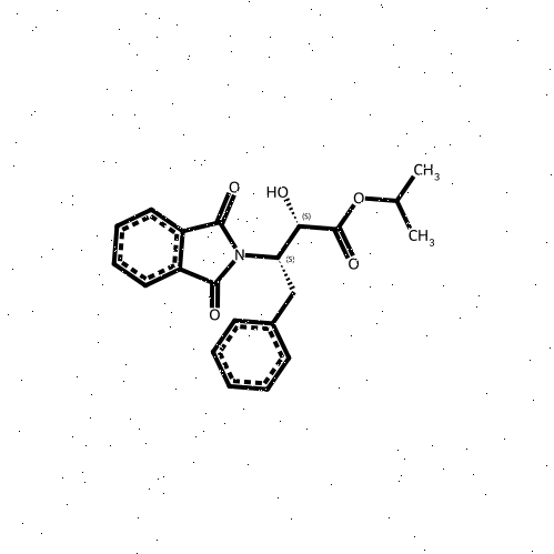 CC(C)OC(=O)[C@@H](O)[C@H](Cc1ccccc1)N1C(=O)c2ccccc2C1=O